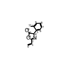 C=CC1=NC(c2ccccc2C)C(=O)O1